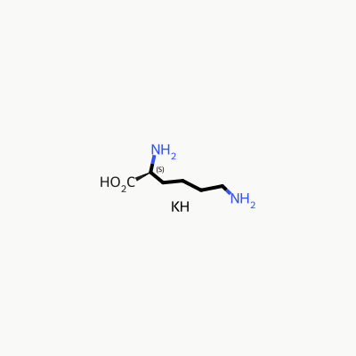 NCCCC[C@H](N)C(=O)O.[KH]